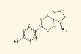 N[C@@H]1COCC12CCN(c1ncc(S)nn1)CC2